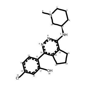 CN1CCC[C@@H](Nc2nnc(-c3ccc(Cl)cc3O)c3c2CCC3)C1